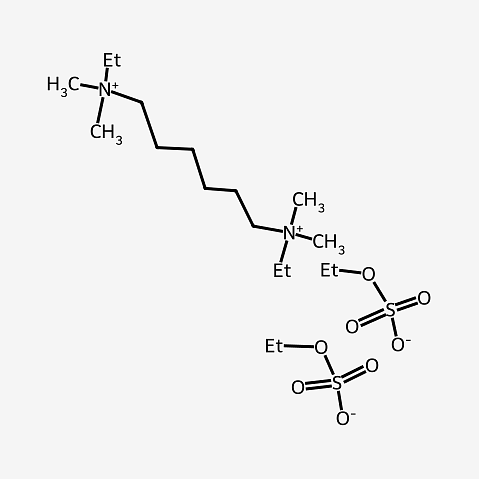 CCOS(=O)(=O)[O-].CCOS(=O)(=O)[O-].CC[N+](C)(C)CCCCCC[N+](C)(C)CC